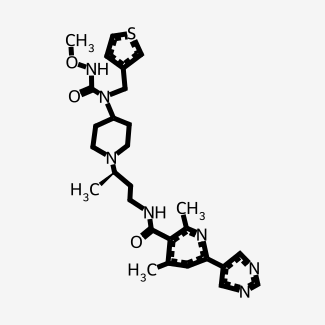 CONC(=O)N(Cc1ccsc1)C1CCN([C@H](C)CCNC(=O)c2c(C)cc(-c3cncnc3)nc2C)CC1